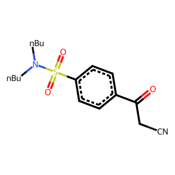 CCCCN(CCCC)S(=O)(=O)c1ccc(C(=O)CC#N)cc1